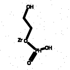 O=[PH](O)OCCO.[Zr]